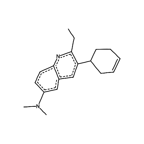 CCc1nc2ccc(N(C)C)cc2cc1C1CC=CCC1